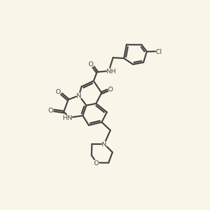 O=C(NCc1ccc(Cl)cc1)c1cn2c(=O)c(=O)[nH]c3cc(CN4CCOCC4)cc(c1=O)c32